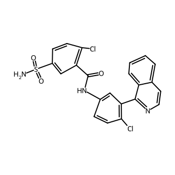 NS(=O)(=O)c1ccc(Cl)c(C(=O)Nc2ccc(Cl)c(-c3nccc4ccccc34)c2)c1